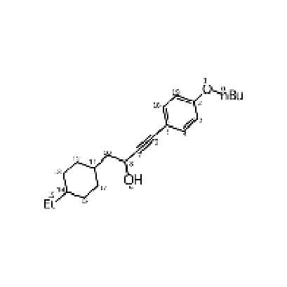 CCCCOc1ccc(C#CC(O)CC2CCC(CC)CC2)cc1